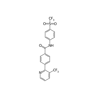 O=C(Nc1ccc(S(=O)(=O)C(F)(F)F)cc1)c1ccc(-c2ncccc2C(F)(F)F)cc1